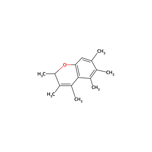 CC1=C(C)C(C)Oc2cc(C)c(C)c(C)c21